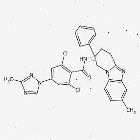 Cc1ccc2c(c1)nc1n2C[C@@](NC(=O)c2c(Cl)cc(-n3cnc(C)n3)cc2Cl)(c2ccccc2)CC1